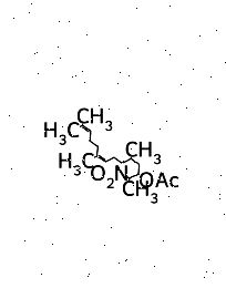 CC(=O)OC(CC(C)CCC=C(C)CCC=C(C)C)C(C)[N+](=O)[O-]